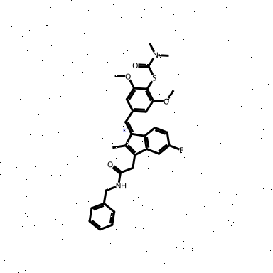 COc1cc(/C=C2/C(C)=C(CC(=O)NCc3ccccc3)c3cc(F)ccc32)cc(OC)c1SC(=O)N(C)C